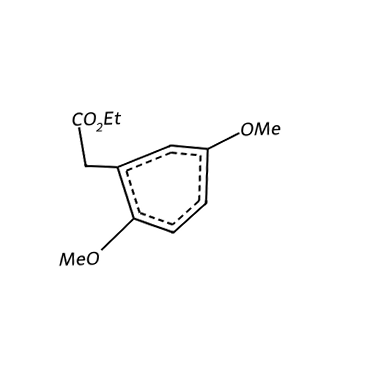 CCOC(=O)Cc1cc(OC)ccc1OC